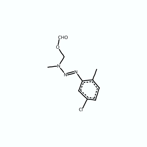 Cc1ccc(Cl)cc1/N=N/N(C)COC=O